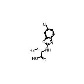 O=C(O)[C@H](CS)Nc1nc2ccc(Cl)cc2o1